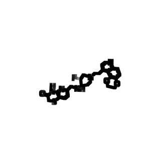 O=C1CSc2ccc(CN[C@H]3CCN(CCc4ccnc5ccc6c(c45)OCCO6)C[C@H]3F)nc2N1